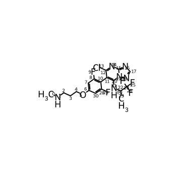 CNCCCOc1cc(F)c(-c2c(Cl)nc3ncnn3c2N[C@H](C)C(F)(F)F)c(F)c1